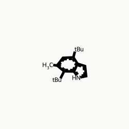 Cc1cc(C(C)(C)C)c2cc[nH]c2c1C(C)(C)C